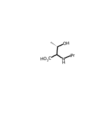 CC(C)NC(C(=O)O)[C@H](C)O